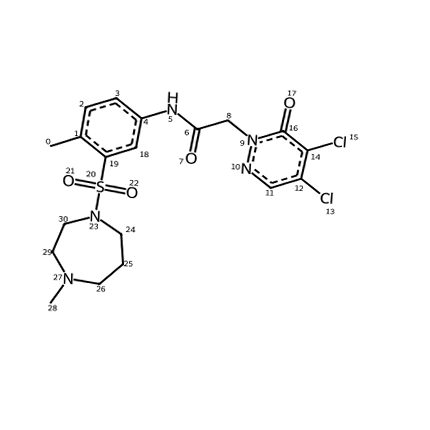 Cc1ccc(NC(=O)Cn2ncc(Cl)c(Cl)c2=O)cc1S(=O)(=O)N1CCCN(C)CC1